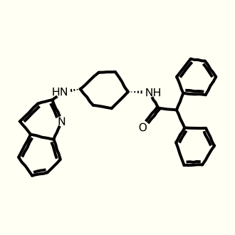 O=C(N[C@H]1CC[C@@H](Nc2ccc3ccccc3n2)CC1)C(c1ccccc1)c1ccccc1